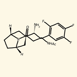 CC(=O)NCCC(=O)N1[C@@H]2CC[C@H]1C[C@H]([C@H](N)Cc1cc(F)c(F)cc1F)C2